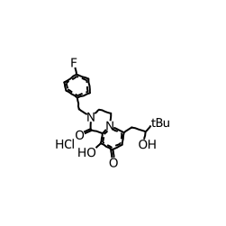 CC(C)(C)C(O)Cc1cc(=O)c(O)c2n1CCN(Cc1ccc(F)cc1)C2=O.Cl